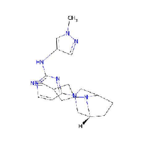 Cn1cc(Nc2nccc(N3CC4CC[C@H](C3)N4C3CC(C#N)C3)n2)cn1